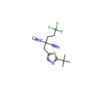 [C-]#[N+]C(C#N)(CCC(F)(F)F)Cc1cnc(C(C)(C)C)s1